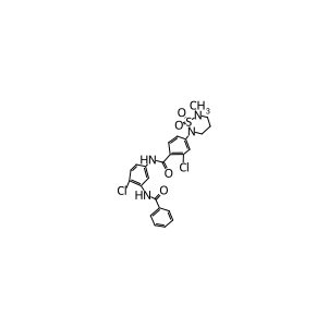 CN1CCCN(c2ccc(C(=O)Nc3ccc(Cl)c(NC(=O)c4ccccc4)c3)c(Cl)c2)S1(=O)=O